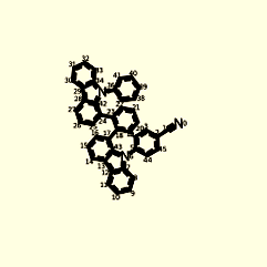 N#Cc1ccc(-n2c3ccccc3c3cccc(-c4ccccc4-c4cccc5c6ccccc6n(-c6ccccc6)c45)c32)cc1